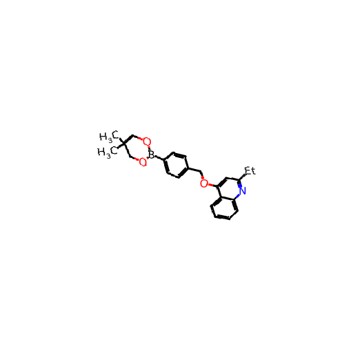 CCc1cc(OCc2ccc(B3OCC(C)(C)CO3)cc2)c2ccccc2n1